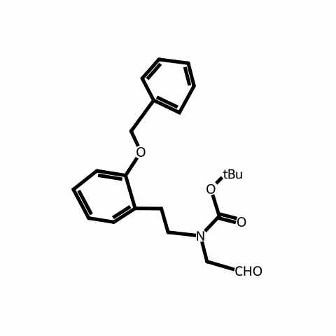 CC(C)(C)OC(=O)N(CC=O)CCc1ccccc1OCc1ccccc1